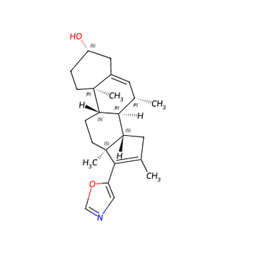 CC1=C(c2cnco2)[C@@]2(C)CC[C@H]3[C@@H]([C@@H](C)C=C4C[C@@H](O)CC[C@@]43C)[C@@H]2C1